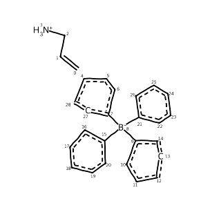 C=CC[NH3+].c1ccc([B-](c2ccccc2)(c2ccccc2)c2ccccc2)cc1